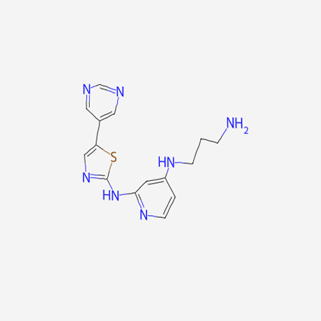 NCCCNc1ccnc(Nc2ncc(-c3cncnc3)s2)c1